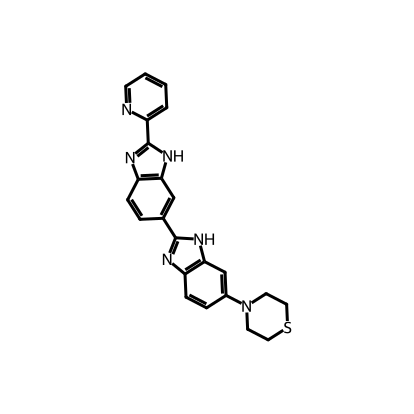 c1ccc(-c2nc3ccc(-c4nc5ccc(N6CCSCC6)cc5[nH]4)cc3[nH]2)nc1